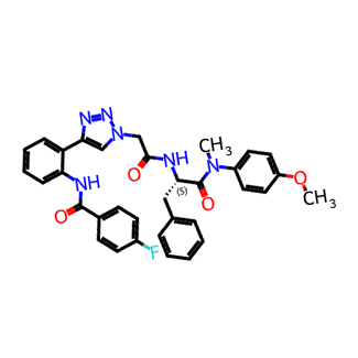 COc1ccc(N(C)C(=O)[C@H](Cc2ccccc2)NC(=O)Cn2cc(-c3ccccc3NC(=O)c3ccc(F)cc3)nn2)cc1